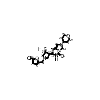 CC1CN(Cc2ccc(Cl)o2)CC1C1=NC2=CN(C3CCOCC3)CN2C(=O)N1